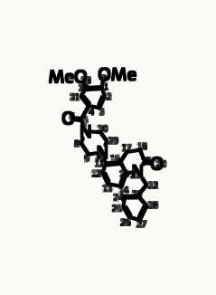 COc1ccc(C(=O)N2CCN(c3cccc4c3CCC(=O)N4Cc3ccccc3)CC2)cc1OC